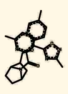 Cc1ccc(OCC2CC3CCC2N3C(=O)c2nc(C)ccc2-c2nc(C)no2)nc1